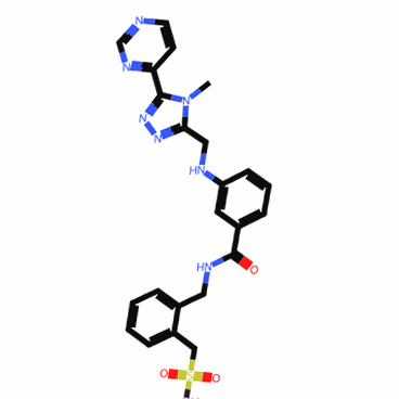 CNS(=O)(=O)Cc1ccccc1CNC(=O)c1cccc(NCc2nnc(-c3ccncn3)n2C)c1